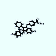 COC(=O)c1ccc(OCC(C2CCCCCC2)C2(c3ccc(Cl)cc3)Nc3cc(F)c(F)cc3N2)nc1